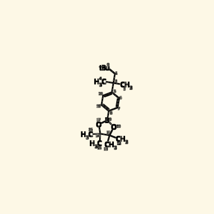 CC(C)(C)CC(C)(C)c1ccc(B2OC(C)(C)C(C)(C)O2)cc1